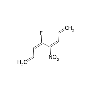 C=C/C=C(F)\C(=C/C=C)[N+](=O)[O-]